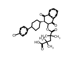 CC(C)(CC(C)(C)C(=O)OC1C(=O)c2ccccc2C(=O)[C@@H]1C1CCC(c2ccc(Cl)cc2)CC1)C(=O)O